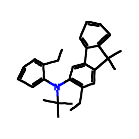 CCc1ccccc1N(c1cc2c(cc1CC)C(C)(C)c1ccccc1-2)C(C)(C)C